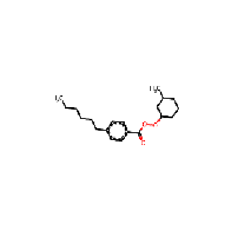 CCCCCCc1ccc(C(=O)OO[C]2CCCC(C)C2)cc1